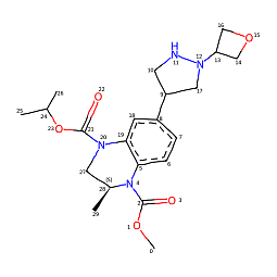 COC(=O)N1c2ccc(C3CNN(C4COC4)C3)cc2N(C(=O)OC(C)C)C[C@@H]1C